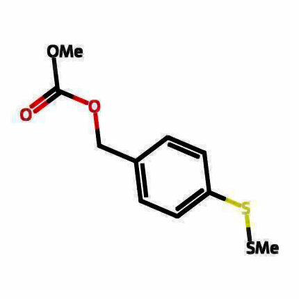 COC(=O)OCc1ccc(SSC)cc1